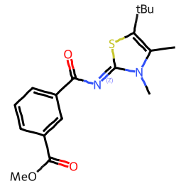 COC(=O)c1cccc(C(=O)/N=c2\sc(C(C)(C)C)c(C)n2C)c1